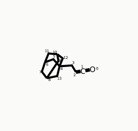 O=C=CCC12CC3CC(CC(C3)C1)C2